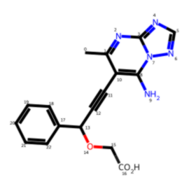 Cc1nc2ncnn2c(N)c1C#CC(OCC(=O)O)c1ccccc1